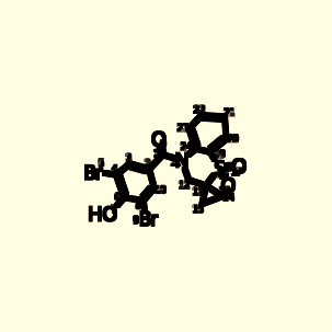 O=C(c1cc(Br)c(O)c(Br)c1)N1CC2(CC2)S(=O)(=O)c2ccccc21